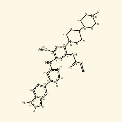 C=CC(=O)Nc1cc(Nc2cc(-c3ccc4c(cnn4C)c3)ncn2)c(OC)cc1N1CCC(C2CCN(C)CC2)CC1